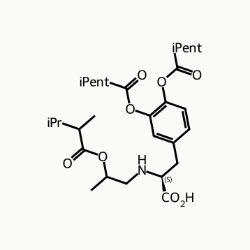 CCCC(C)C(=O)Oc1ccc(C[C@H](NCC(C)OC(=O)C(C)C(C)C)C(=O)O)cc1OC(=O)C(C)CCC